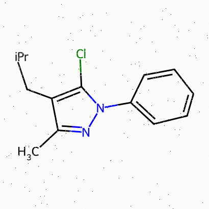 Cc1nn(-c2ccccc2)c(Cl)c1CC(C)C